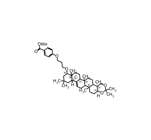 COC(=O)c1ccc(OCCCO[C@@H]2CC(C)(C)C[C@H]3C4=CCC5[C@@]6(C)CC[C@@H]7OC(C)(C)OC[C@]7(C)C6CC[C@@]5(C)[C@]4(C)CC[C@@]23C)cc1